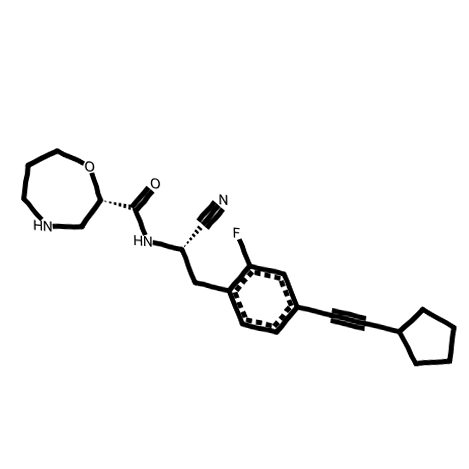 N#C[C@H](Cc1ccc(C#CC2CCCC2)cc1F)NC(=O)[C@@H]1CNCCCO1